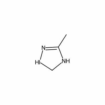 CC1=N[IH]CN1